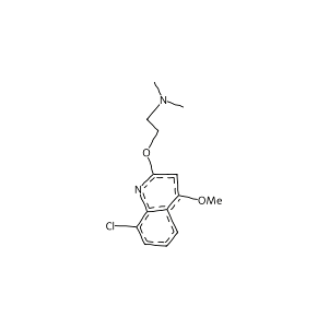 COc1cc(OCCN(C)C)nc2c(Cl)cccc12